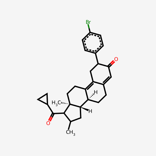 CC1C[C@H]2[C@@H]3CCC4=CC(=O)C(c5ccc(Br)cc5)CC4=C3CC[C@]2(C)C1C(=O)C1CC1